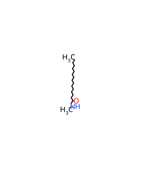 CCCCCCCCCCCCCCCC(=O)CNC